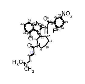 CN(C)C/C=C/C(=O)N1CCCC[C@@H](n2c(NC(=O)c3cc([N+](=O)[O-])ccc3F)nc3cccc(Cl)c32)C1